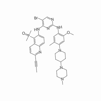 CC#Cc1ccc2c(P(C)(C)=O)c(Nc3nc(Nc4cc(C)c(N5CCC(N6CCN(C)CC6)CC5)cc4OC)ncc3Br)ccc2n1